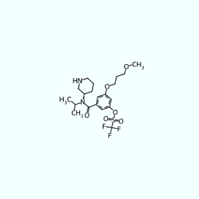 COCCCOc1cc(OS(=O)(=O)C(F)(F)F)cc(C(=O)N(C(C)C)[C@@H]2CCCNC2)c1